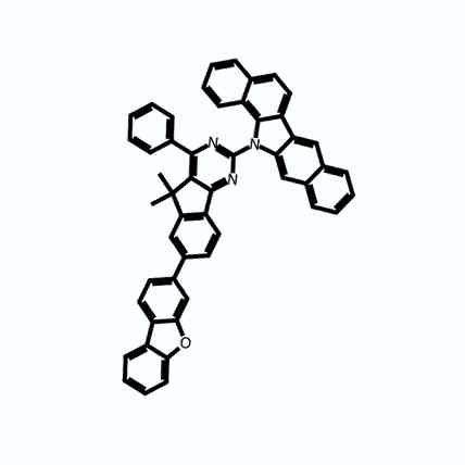 CC1(C)c2cc(-c3ccc4c(c3)oc3ccccc34)ccc2-c2nc(-n3c4cc5ccccc5cc4c4ccc5ccccc5c43)nc(-c3ccccc3)c21